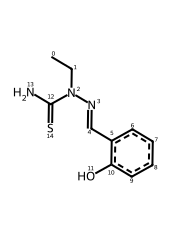 CCN(N=Cc1ccccc1O)C(N)=S